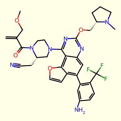 C=C(COC)C(=O)N1CCN(c2nc(OC[C@@H]3CCCN3C)nc3cc(-c4cc(N)ccc4C(F)(F)F)c4ccoc4c23)C[C@@H]1CC#N